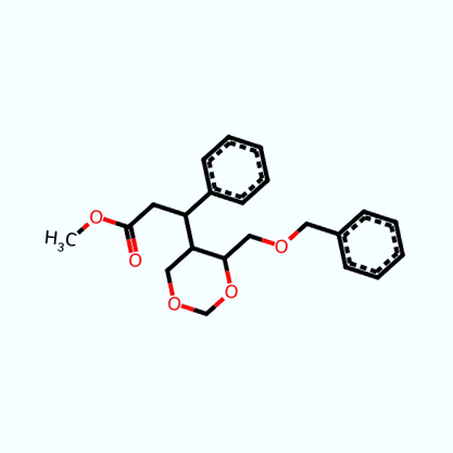 COC(=O)CC(c1ccccc1)C1COCOC1COCc1ccccc1